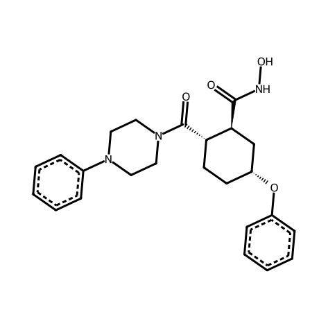 O=C(NO)[C@H]1C[C@H](Oc2ccccc2)CC[C@@H]1C(=O)N1CCN(c2ccccc2)CC1